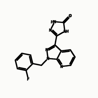 O=c1[nH]nc(-c2nn(Cc3ccccc3F)c3ncccc23)[nH]1